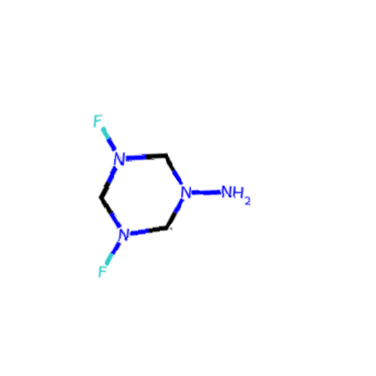 NN1[CH]N(F)CN(F)C1